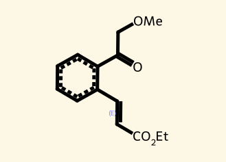 CCOC(=O)/C=C/c1ccccc1C(=O)COC